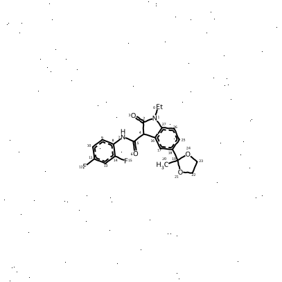 CCN1C(=O)C(C(=O)Nc2ccc(F)cc2F)c2cc(C3(C)OCCO3)ccc21